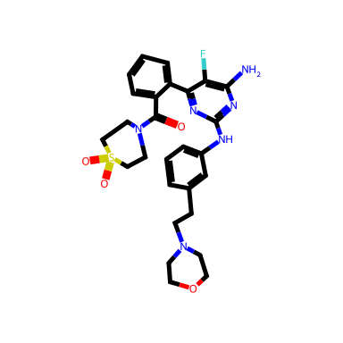 Nc1nc(Nc2cccc(CCN3CCOCC3)c2)nc(-c2ccccc2C(=O)N2CCS(=O)(=O)CC2)c1F